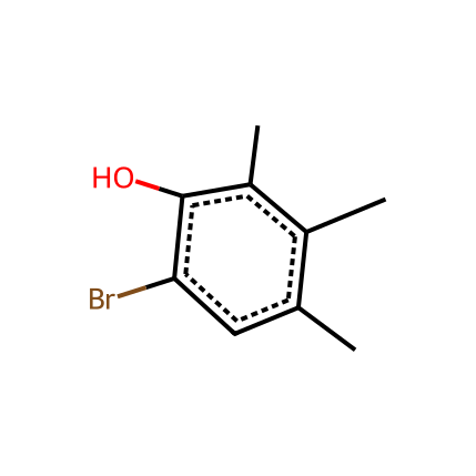 Cc1cc(Br)c(O)c(C)c1C